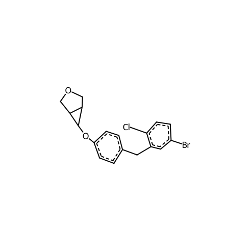 Clc1ccc(Br)cc1Cc1ccc(OC2C3COCC32)cc1